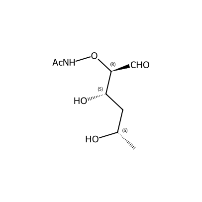 CC(=O)NO[C@@H](C=O)[C@@H](O)C[C@H](C)O